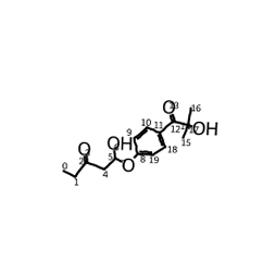 CCC(=O)CC(O)Oc1ccc(C(=O)C(C)(C)O)cc1